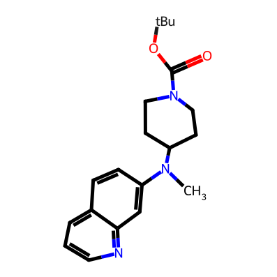 CN(c1ccc2cccnc2c1)C1CCN(C(=O)OC(C)(C)C)CC1